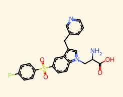 NC(Cn1cc(Cc2cccnc2)c2cc(S(=O)(=O)c3ccc(F)cc3)ccc21)C(=O)O